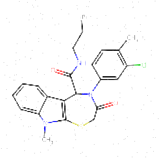 Cc1ccc(N2C(=O)CSc3c(c4ccccc4n3C)C2C(=O)NCCC(C)C)cc1Cl